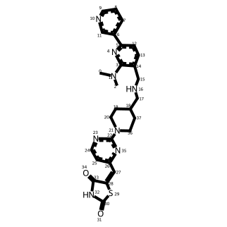 CN(C)c1nc(-c2cccnc2)ccc1CNCC1CCN(c2nccc(C=C3SC(=O)NC3=O)n2)CC1